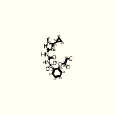 Cn1nc(NC(=O)NS(=O)(=O)c2ccccc2O/C(Cl)=C/Cl)nc1C1CC1